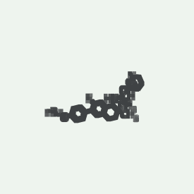 CCCCOc1ccc(-c2cc3c(cc2F)[C@H](NC(=O)O[C@H]2CN4CCC2CC4)C(C)(C)CC3)cc1